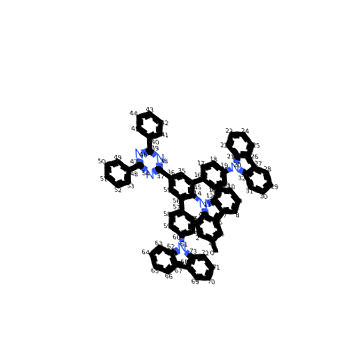 Cc1ccc2c(c1)c1ccccc1n2-c1c(-c2ccc(-n3c4ccccc4c4ccccc43)cc2)cc(-c2nc(-c3ccccc3)nc(-c3ccccc3)n2)cc1-c1ccc(-n2c3ccccc3c3ccccc32)cc1